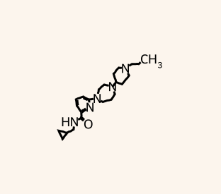 CCCN1CCC(N2CCCN(c3cccc(C(=O)NCC4CC4)n3)CC2)CC1